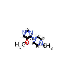 COc1cncnc1N1CCN(C)CC1